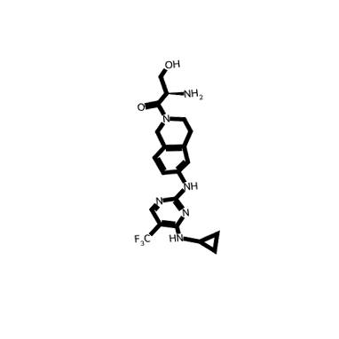 N[C@H](CO)C(=O)N1CCc2cc(Nc3ncc(C(F)(F)F)c(NC4CC4)n3)ccc2C1